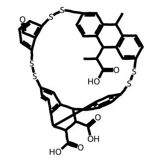 CC1c2cc3ccc2C(C(C)C(=O)O)c2cc(ccc21)SSc1ccc2c(c1)C1c4ccc(cc4C2C(C(=O)O)C1C(=O)O)SSc1cccc(c1C=O)SS3